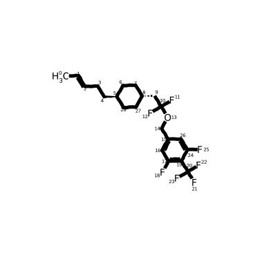 CC=CCC[C@H]1CC[C@H](CC(F)(F)OCc2cc(F)c(C(F)(F)F)c(F)c2)CC1